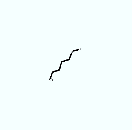 [CH2]CCCCCCSCC